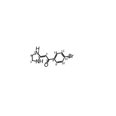 O=C(C=C1NCCN1)c1ccc(Br)cc1